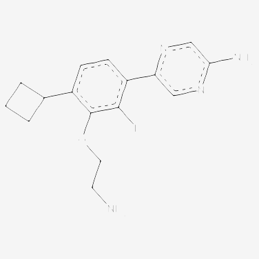 NCCOc1c(C2CCC2)ccc(-c2cnc(N)cn2)c1F